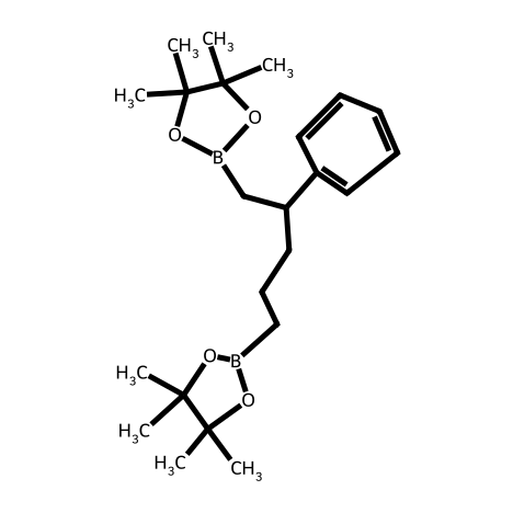 CC1(C)OB(CCCC(CB2OC(C)(C)C(C)(C)O2)c2ccccc2)OC1(C)C